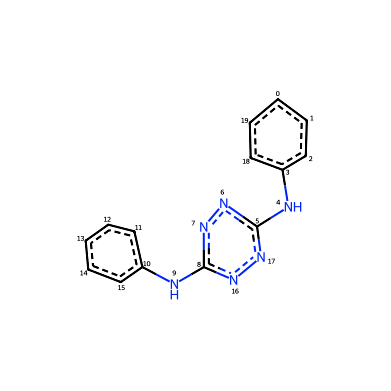 c1ccc(Nc2nnc(Nc3ccccc3)nn2)cc1